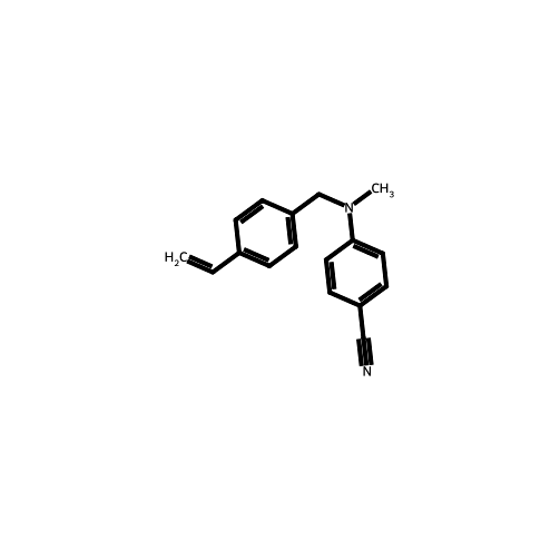 C=Cc1ccc(CN(C)c2ccc(C#N)cc2)cc1